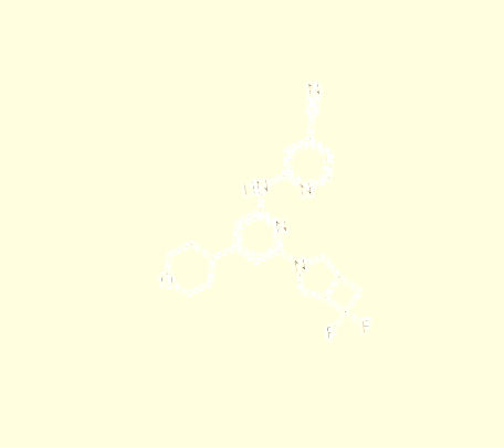 N#Cc1ccnc(Nc2cc(C3CCOCC3)cc(N3CC4CC(F)(F)C4C3)n2)c1